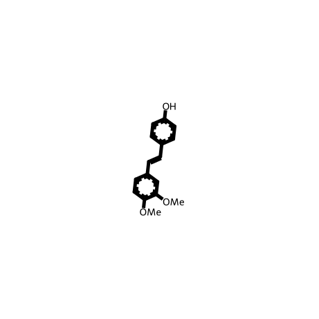 COc1ccc(/C=C/c2ccc(O)cc2)cc1OC